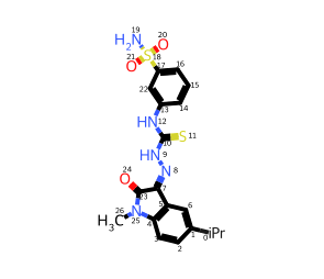 CC(C)c1ccc2c(c1)C(=NNC(=S)Nc1cccc(S(N)(=O)=O)c1)C(=O)N2C